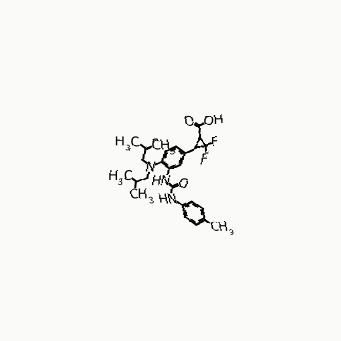 Cc1ccc(NC(=O)Nc2cc(C3C(C(=O)O)C3(F)F)ccc2N(CC(C)C)CC(C)C)cc1